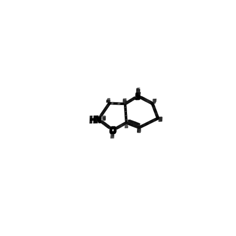 C1=C2ONCC2SCC1